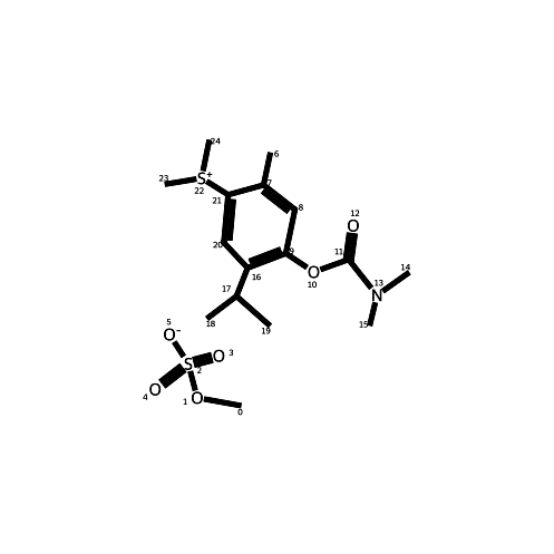 COS(=O)(=O)[O-].Cc1cc(OC(=O)N(C)C)c(C(C)C)cc1[S+](C)C